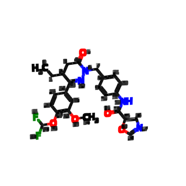 CCC1CC(=O)N(Cc2ccc(NC(=O)c3cnco3)cc2)N=C1c1ccc(OC(F)F)c(OC)c1